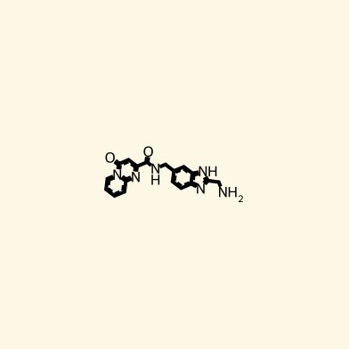 NCc1nc2ccc(CNC(=O)c3cc(=O)n4ccccc4n3)cc2[nH]1